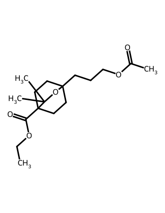 CCOC(=O)C12CCC(CCCOC(C)=O)(CC1)OC2(C)C